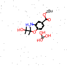 CC(C)(C)OC(=O)c1ccc(OC(C)(C)C(C)(C)O)c(N)c1.OB(O)O